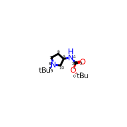 CC(C)(C)OC(=O)NC1CCN(C(C)(C)C)C1